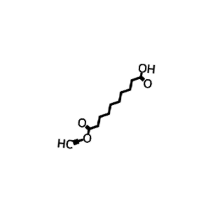 C#COC(=O)CCCCCCCCC(=O)O